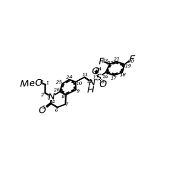 COCCN1C(=O)CCc2cc(CNS(=O)(=O)c3ccc(F)cc3F)ccc21